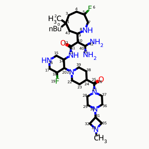 CCCCC1(C)CCC(F)CNC(C(C(=O)NC2CNCC(F)C2N2CCC(C(=O)N3CCN(C4CN(C)C4)CC3)CC2)C(N)N)C1